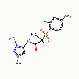 Cc1ccc(S(=O)(=O)C(C)(C)C(=O)Nc2cc(C(C)(C)C)nn2C)c(F)c1